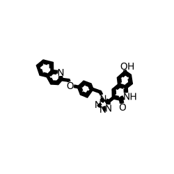 O=c1[nH]c2ccc(O)cc2cc1-c1nnnn1Cc1ccc(OCc2ccc3ccccc3n2)cc1